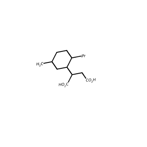 CC1CCC(C(C)C)C(C(CC(=O)O)C(=O)O)C1